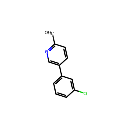 O=Cc1ccc(-c2cccc(Cl)c2)cn1